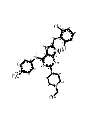 CC(C)CN1CCN(c2nc(Nc3ccc(C(F)(F)F)cc3)c3nc(Cc4c(Cl)cccc4Cl)[nH]c3n2)CC1